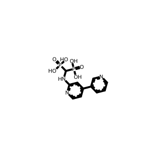 O=P(O)(O)C(Nc1cc(-c2cccnc2)ccn1)P(=O)(O)O